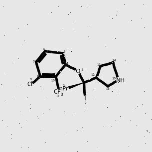 CCC[C@@](I)(Oc1cccc(Cl)c1C(F)(F)F)C1CCNC1